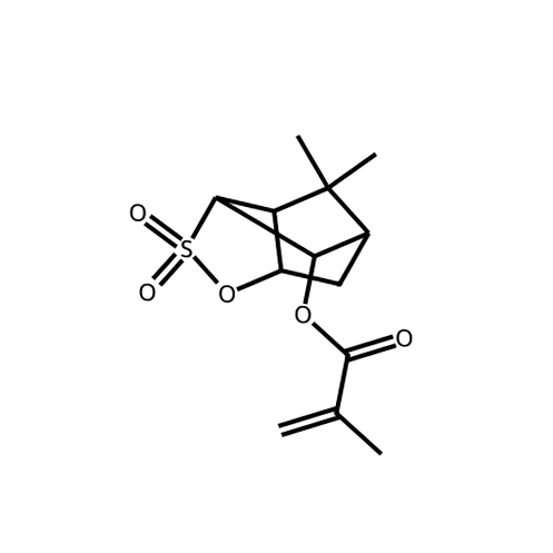 C=C(C)C(=O)OC1C2CC3OS(=O)(=O)C1C3C2(C)C